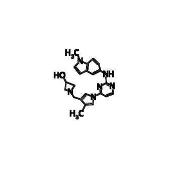 Cc1cn(-c2ccnc(Nc3ccc4c(ccn4C)c3)n2)cc1CN1CC(O)C1